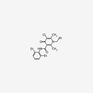 CCc1cccc(CC)c1NC(=O)c1c(C)n(CC(C)C)c(C)c(Cl)c1=O